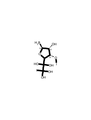 B[C@@H]1OC(C(O)(O)C(O)(O)I)[C@@H](OI)[C@H]1O